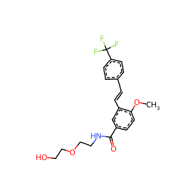 COc1ccc(C(=O)NCCOCCO)cc1C=Cc1ccc(C(F)(F)F)cc1